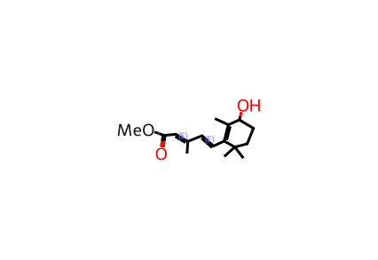 COC(=O)/C=C(C)/C=C/C1=C(C)C(O)CCC1(C)C